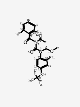 COCN(C(=O)N(C(C)=O)C(=O)c1c(F)cccc1F)c1ccc(SC(F)(F)F)cc1F